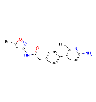 Cc1nc(N)ccc1-c1ccc(CC(=O)Nc2cc(C(C)(C)C)on2)cc1